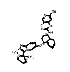 Cc1cnc(C(C)(C)C)cc1NC(=O)N[C@H]1CC[C@@H](Oc2ccc3nnc([C@]4(C)CCCN4C)n3c2)c2ccccc21